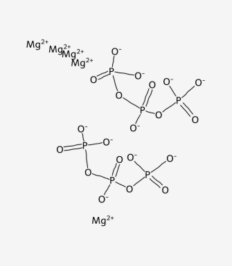 O=P([O-])([O-])OP(=O)([O-])OP(=O)([O-])[O-].O=P([O-])([O-])OP(=O)([O-])OP(=O)([O-])[O-].[Mg+2].[Mg+2].[Mg+2].[Mg+2].[Mg+2]